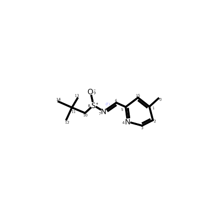 Cc1ccnc(/C=N/[S+]([O-])CC(C)(C)C)c1